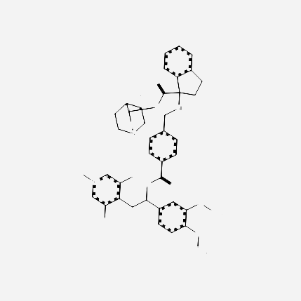 COc1ccc(C(Cc2c(Cl)c[n+]([O-])cc2Cl)OC(=O)c2ccc(CNC3(C(=O)O[C@H]4CN5CCC4CC5)CCc4ccccc43)cc2)cc1OC